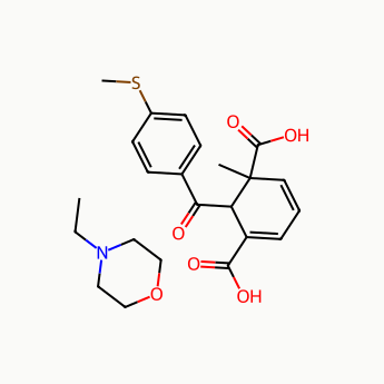 CCN1CCOCC1.CSc1ccc(C(=O)C2C(C(=O)O)=CC=CC2(C)C(=O)O)cc1